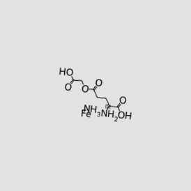 N.N[C@@H](CCC(=O)OCC(=O)O)C(=O)O.[Fe]